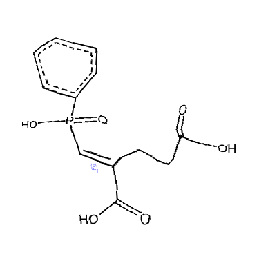 O=C(O)CC/C(=C\P(=O)(O)c1ccccc1)C(=O)O